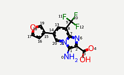 Nc1c(C(=O)O)nc2c(C(F)(F)F)cc(-c3ccoc3)cn12